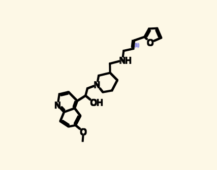 COc1ccc2nccc(C(O)CN3CCCC(CNC/C=C/c4ccco4)C3)c2c1